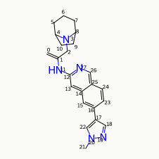 C=C(CN1C2CCCC1CC2)Nc1cc2cc(-c3cnn(C)c3)ccc2cn1